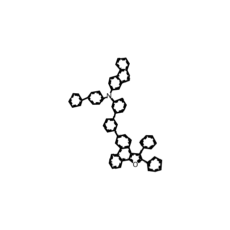 c1ccc(-c2ccc(N(c3cccc(-c4cccc(-c5ccc6c(c5)c5ccccc5c5oc(-c7ccccc7)c(-c7ccccc7)c65)c4)c3)c3ccc4c(ccc5ccccc54)c3)cc2)cc1